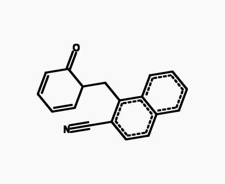 N#Cc1ccc2ccccc2c1CC1C=CC=CC1=O